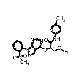 Cc1ccc(NC(=O)[C@H](COC(C)C)Oc2ncnc3c2cnn3-c2ccccc2S(C)(=O)=O)nc1